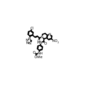 COC(=O)Nc1ccc(NC(=O)C2c3cc([N+](=O)[O-])cnc3CCN2C(=O)C=Cc2cc(Cl)ccc2-n2cnnn2)cc1